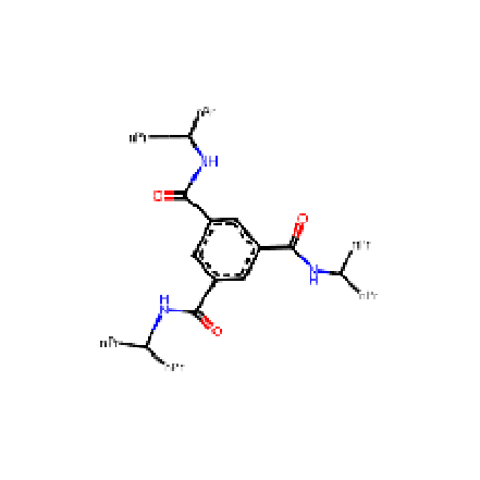 CCCC(CCC)NC(=O)c1cc(C(=O)NC(CCC)CCC)cc(C(=O)NC(CCC)CCC)c1